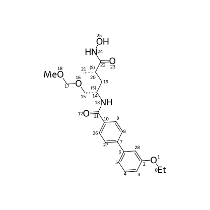 CCOc1cccc(-c2ccc(C(=O)N[C@H](COCOC)C[C@H](C)C(=O)NO)cc2)c1